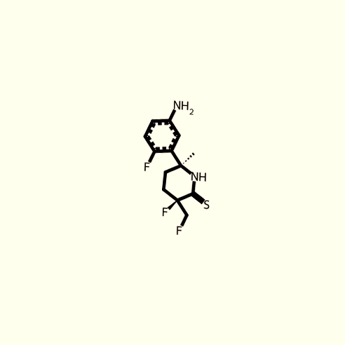 C[C@@]1(c2cc(N)ccc2F)CC[C@@](F)(CF)C(=S)N1